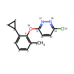 Cc1cccc(C2CC2)c1Oc1[c]cc(Cl)nn1